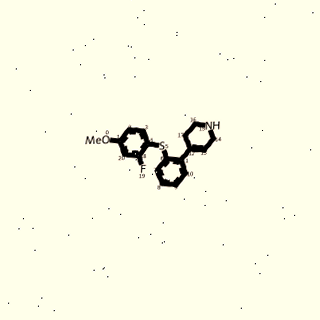 COc1ccc(Sc2ccccc2C2=CCNCC2)c(F)c1